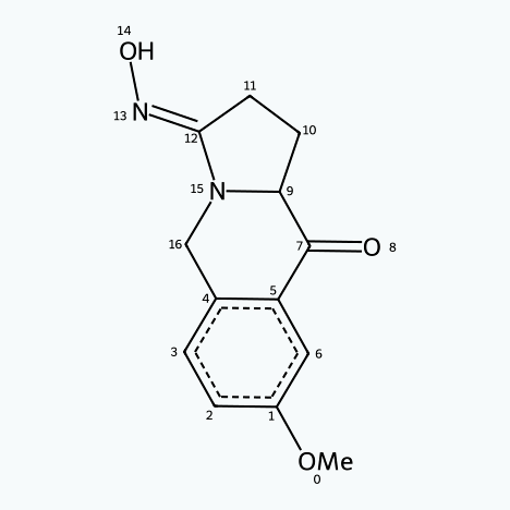 COc1ccc2c(c1)C(=O)C1CCC(=NO)N1C2